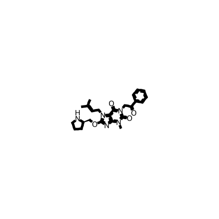 CC(C)=CCn1c(OC[C@H]2CCCN2)nc2c1c(=O)n(CC(=O)c1ccccc1)c(=O)n2C